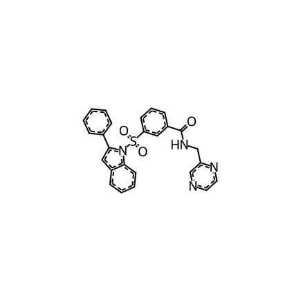 O=C(NCc1cnccn1)c1cccc(S(=O)(=O)n2c(-c3ccccc3)cc3ccccc32)c1